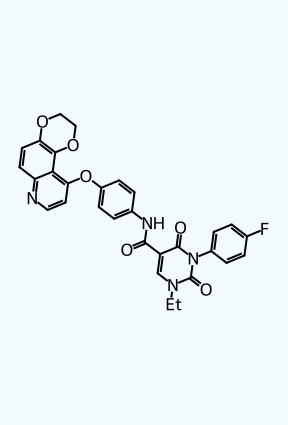 CCn1cc(C(=O)Nc2ccc(Oc3ccnc4ccc5c(c34)OCCO5)cc2)c(=O)n(-c2ccc(F)cc2)c1=O